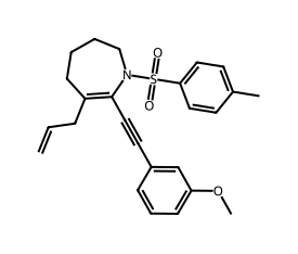 C=CCC1=C(C#Cc2cccc(OC)c2)N(S(=O)(=O)c2ccc(C)cc2)CCCC1